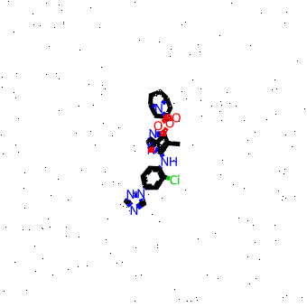 Cc1c(Nc2ccc(-n3cncn3)cc2Cl)ncnc1OC1CC2CCC(C1)N2C(=O)OCC(C)(C)C